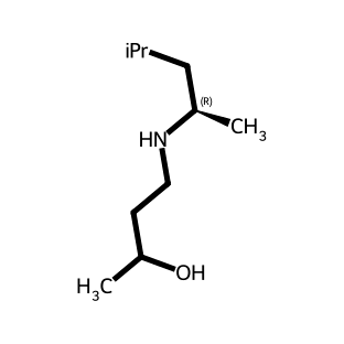 CC(C)C[C@@H](C)NCCC(C)O